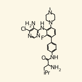 CC(C)CC(N)C(=O)Nc1ccc(-c2ccc(N3CCN(C)CC3)c(Nc3ncnc(Cl)c3N)c2F)cc1